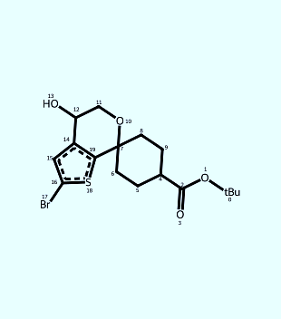 CC(C)(C)OC(=O)C1CCC2(CC1)OCC(O)c1cc(Br)sc12